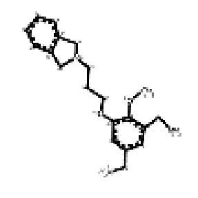 COc1c(CN)cc(CN)cc1OCCCN1Cc2ccccc2C1